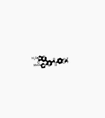 CO[C@@H]1CCN(c2ncc(C(=O)Nc3ccc(OC(F)(F)Cl)cc3)cc2-c2cnc3c(c2)C(=O)N(C)C3)C1